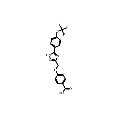 O=C(O)c1ccc(OCc2n[nH]c(-c3ccc(OC(F)(F)F)cc3)n2)cc1